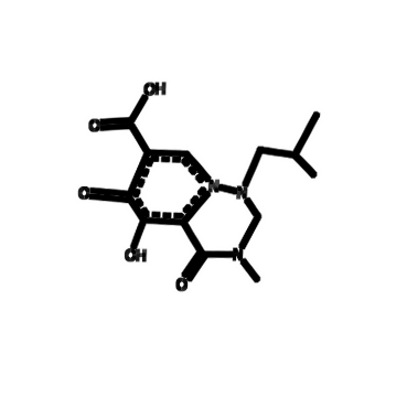 CC(C)CN1CN(C)C(=O)c2c(O)c(=O)c(C(=O)O)cn21